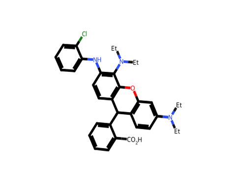 CCN(CC)c1ccc2c(c1)Oc1c(ccc(Nc3ccccc3Cl)c1N(CC)CC)C2c1ccccc1C(=O)O